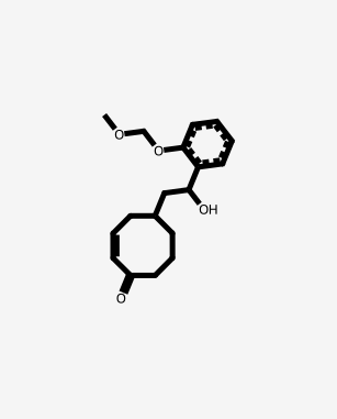 COCOc1ccccc1C(O)CC1CC=CC(=O)CCC1